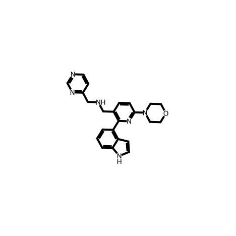 c1cc(-c2nc(N3CCOCC3)ccc2CNCc2ccncn2)c2cc[nH]c2c1